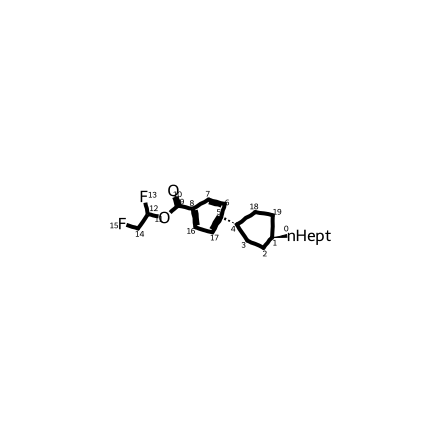 CCCCCCC[C@H]1CC[C@H](c2ccc(C(=O)OC(F)CF)cc2)CC1